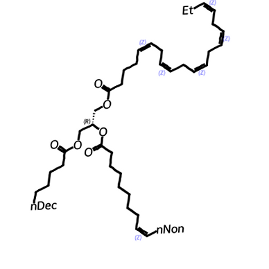 CC/C=C\C/C=C\C/C=C\C/C=C\C/C=C\CCCC(=O)OC[C@@H](COC(=O)CCCCCCCCCCCCCC)OC(=O)CCCCCCC/C=C\CCCCCCCCC